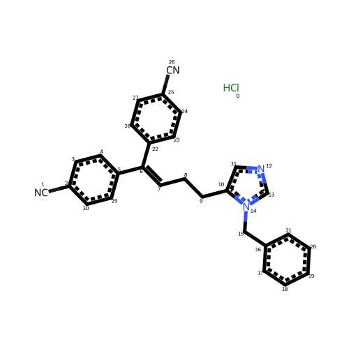 Cl.N#Cc1ccc(C(=CCCc2cncn2Cc2ccccc2)c2ccc(C#N)cc2)cc1